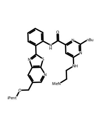 CCCCc1nc(NCCNC)cc(C(=O)Nc2ccccc2-c2nc3cc(COC(C)CCC)cnc3s2)n1